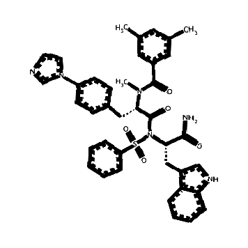 Cc1cc(C)cc(C(=O)N(C)[C@@H](Cc2ccc(-n3ccnc3)cc2)C(=O)N([C@@H](Cc2c[nH]c3ccccc23)C(N)=O)S(=O)(=O)c2ccccc2)c1